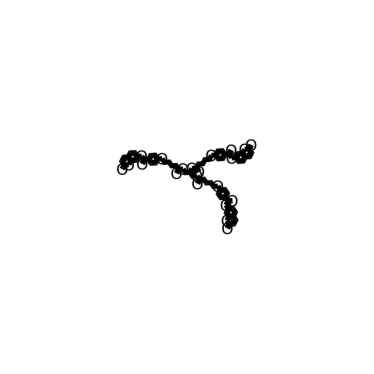 O=C(CCCCOc1ccc(C(=O)Oc2ccc3ccc(=O)oc3c2)cc1)OCC(COC(=O)CCCCOc1ccc(C(=O)Oc2ccc3ccc(=O)oc3c2)cc1)OC(=O)CCCCOc1ccc(C(=O)Oc2ccc3ccc(=O)oc3c2)cc1